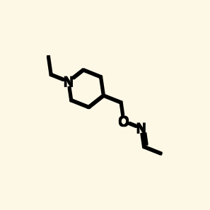 CC=NOCC1CCN(CC)CC1